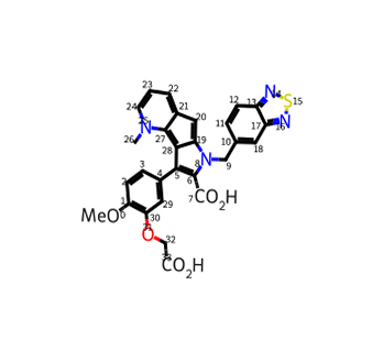 COc1ccc(-c2c(C(=O)O)n(Cc3ccc4nsnc4c3)c3cc4cccn(C)c-4c23)cc1OCC(=O)O